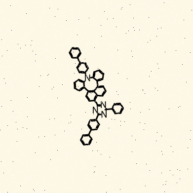 c1ccc(-c2ccc(-c3nc(-c4ccccc4)nc(-c4ccc5c6c(cccc46)-c4ccccc4N(c4ccc(-c6ccccc6)cc4)c4ccccc4-5)n3)cc2)cc1